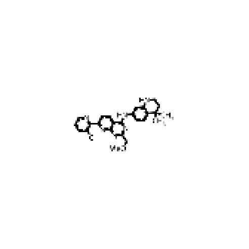 COCc1nc(Nc2ccc3c(c2)NCCC3(C)C)c2ccc(-c3ncccc3Cl)nc2n1